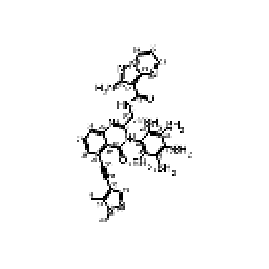 Bc1c(B)c(B)c(-n2c([C@@H](C)NC(=O)c3c(N)nn4cccnc34)nc3cccc(C#Cc4cnn(C)c4C)c3c2=O)c(B)c1B